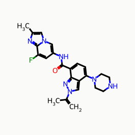 C=C(C)n1cc2c(N3CCNCC3)ccc(C(=O)Nc3cc(F)c4nc(C)cn4c3)c2n1